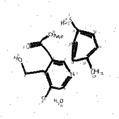 COC(=O)c1cncc(Cl)c1CO.Cc1ccc(S(=O)(=O)O)cc1.O